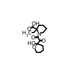 CCC1(C(=O)O)CCCCN1C(=O)C(=O)C1(O)CCCCO1